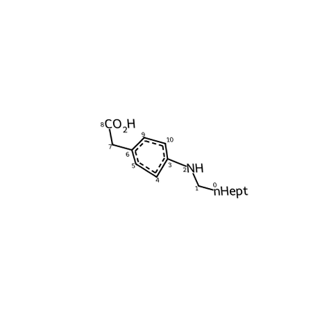 CCCCCCCCNc1ccc(CC(=O)O)cc1